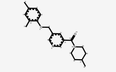 Cc1ccc(OCc2cncc(C(=O)N3CCC(C)CC3)c2)c(C)c1